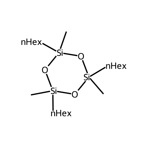 CCCCCC[Si]1(C)O[Si](C)(CCCCCC)O[Si](C)(CCCCCC)O1